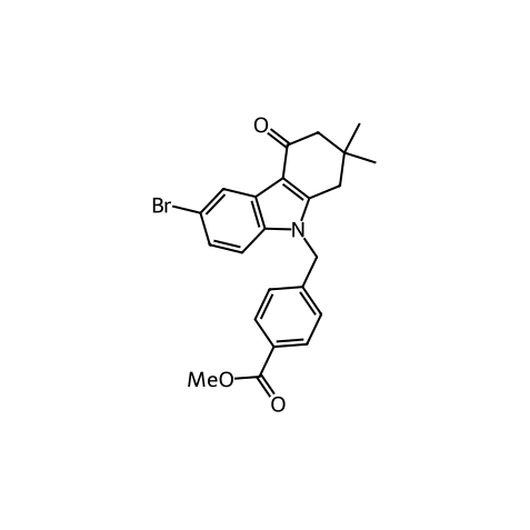 COC(=O)c1ccc(Cn2c3c(c4cc(Br)ccc42)C(=O)CC(C)(C)C3)cc1